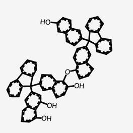 Oc1ccc2cc(C3(c4ccc5c(Oc6c(O)ccc7cc(C8(c9cc(O)c%10c(O)cccc%10c9)c9ccccc9-c9ccccc98)ccc67)cccc5c4)c4ccccc4-c4ccccc43)ccc2c1